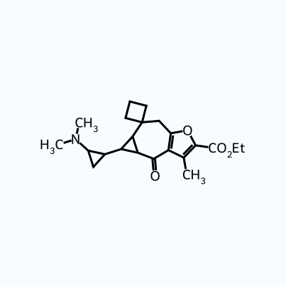 CCOC(=O)c1oc2c(c1C)C(=O)C1C(C3CC3N(C)C)C1C1(CCC1)C2